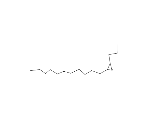 CCCCCCCCCCCC1OC1CCC